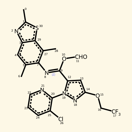 Cc1nc2cc(C)c(/N=C(\OC=O)c3cc(OCC(F)(F)F)nn3-c3ncccc3Cl)c(C)c2s1